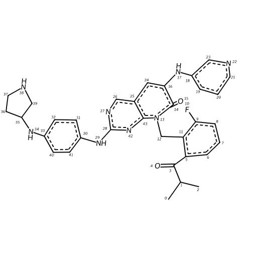 CC(C)C(=O)c1cccc(F)c1Cn1c(=O)c(Nc2cccnc2)cc2cnc(Nc3ccc(NC4CCNC4)cc3)nc21